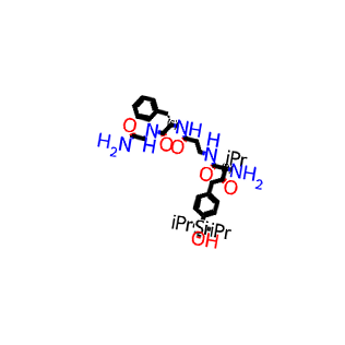 CC(C)[C@@](N)(C(=O)Cc1ccc([Si](O)(C(C)C)C(C)C)cc1)C(=O)NCCC(=O)N[C@@H](Cc1ccccc1)C(=O)NCC(N)=O